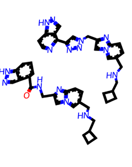 O=C(NCc1cn2cc(CNCC3CCC3)ccc2n1)c1cccc2[nH]ncc12.c1cc2[nH]ncc2c(-c2cn(Cc3cn4cc(CNCC5CCC5)ccc4n3)nn2)n1